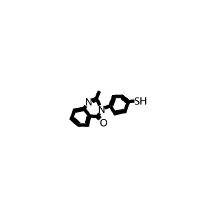 Cc1nc2ccccc2c(=O)n1-c1ccc(S)cc1